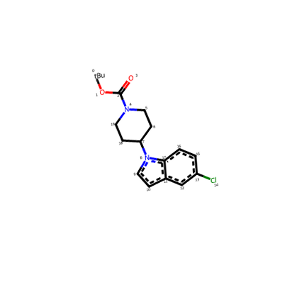 CC(C)(C)OC(=O)N1CCC(n2ccc3cc(Cl)ccc32)CC1